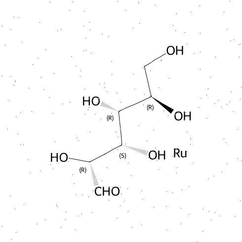 O=C[C@H](O)[C@@H](O)[C@H](O)[C@H](O)CO.[Ru]